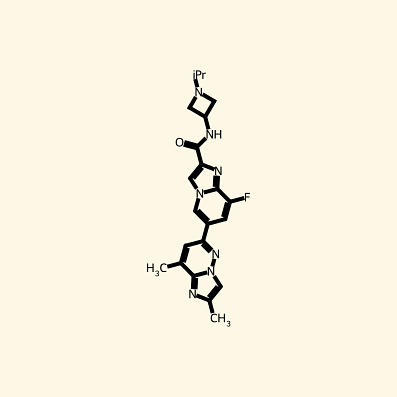 Cc1cn2nc(-c3cc(F)c4nc(C(=O)NC5CN(C(C)C)C5)cn4c3)cc(C)c2n1